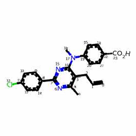 C=CCc1c(C)nc(-c2ccc(Cl)cc2)nc1N(C)c1ccc(C(=O)O)cc1